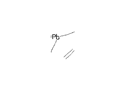 C=C.[CH3][Pb][CH3]